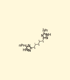 CCCc1nc(CCCCCc2n[nH]c(CCC)n2)n[nH]1